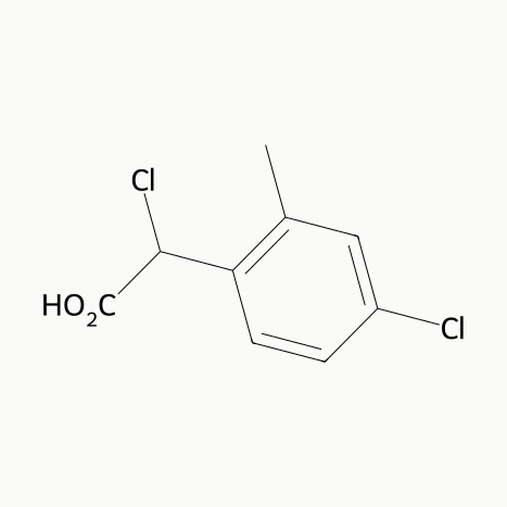 Cc1cc(Cl)ccc1C(Cl)C(=O)O